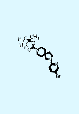 CC(C)(C)OC(=O)N1CCC2(CC1)CCN(c1ccc(Br)cn1)C2